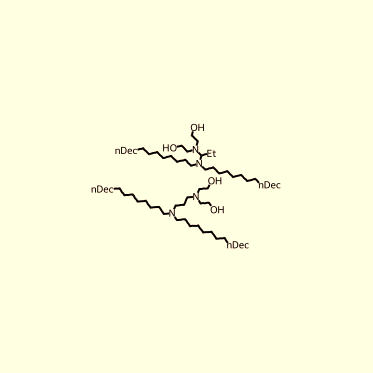 CCCCCCCCCCCCCCCCCCN(CCCCCCCCCCCCCCCCCC)C(CC)N(CCO)CCO.CCCCCCCCCCCCCCCCCCN(CCCCCCCCCCCCCCCCCC)CCCN(CCO)CCO